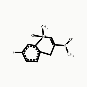 C[S+]([O-])C1=C[N+](C)([O-])c2cc(F)ccc2C1